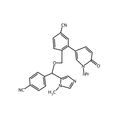 CCCn1cc(-c2cc(C#N)ccc2COC(c2ccc(C#N)cc2)c2cncn2C)ccc1=O